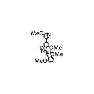 COc1cncc(-c2cc(OC)c3c(NSc4c(OC)cccc4OC)noc3c2)c1